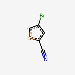 N#Cc1cc(Br)[c]s1